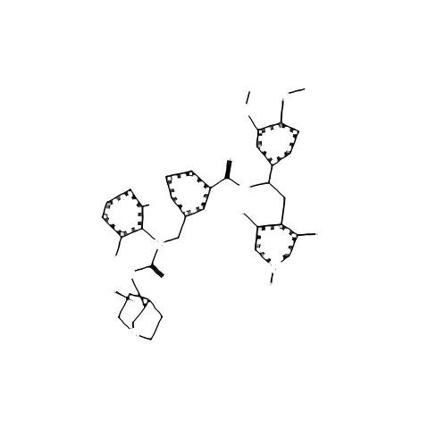 COc1ccc(C(Cc2c(Cl)c[n+]([O-])cc2Cl)OC(=O)c2cccc(CN(C(=O)O[C@H]3CN4CCC3CC4)c3c(F)cccc3F)c2)cc1OC